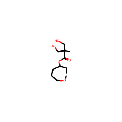 CC(CO)(CO)C(=O)OC1CCCOCC1